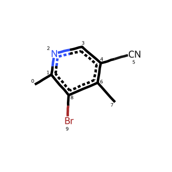 Cc1ncc(C#N)c(C)c1Br